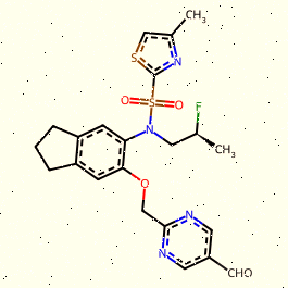 Cc1csc(S(=O)(=O)N(C[C@H](C)F)c2cc3c(cc2OCc2ncc(C=O)cn2)CCC3)n1